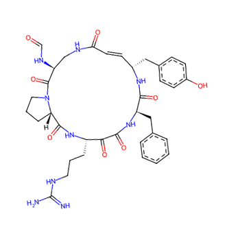 N=C(N)NCCC[C@@H]1NC(=O)[C@@H]2CCCN2C(=O)[C@@H](NC=O)CNC(=O)/C=C/[C@H](Cc2ccc(O)cc2)NC(=O)[C@@H](Cc2ccccc2)NC(=O)C1=O